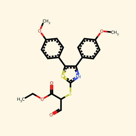 CCOC(=O)C(C=O)Sc1nc(-c2ccc(OC)cc2)c(-c2ccc(OC)cc2)s1